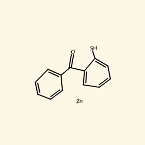 O=C(c1ccccc1)c1ccccc1S.[Zn]